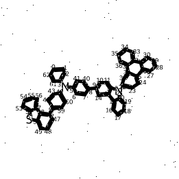 c1ccc(N(c2ccc(-c3ccc4c(c3)c3ccccc3n4-c3ccc4c5ccccc5c5ccccc5c4c3)cc2)c2ccc(-c3cccc4sc5ccccc5c34)cc2)cc1